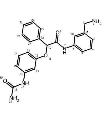 NCc1cccc(NC(=O)C(Oc2cccc(NC(N)=O)c2)c2ccccc2)c1